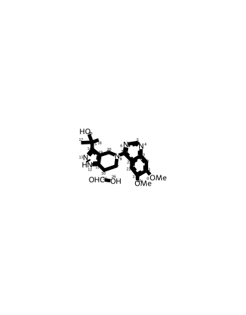 COc1cc2ncnc(N3CCc4[nH]nc(C(C)(C)O)c4C3)c2cc1OC.O=CO